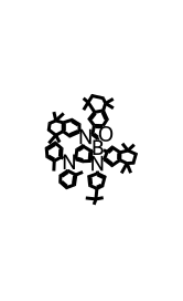 Cc1ccccc1N(c1cc2c3c(c1)N(c1ccc4c(c1)C(C)(C)CCC4(C)C)c1c(oc4cc5c(cc14)C(C)(C)CCC5(C)C)B3c1cc3c(cc1N2c1ccc(C(C)(C)C)cc1)C(C)(C)CCC3(C)C)c1ccccc1C